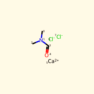 CN(C)C=O.[Ca+2].[Cl-].[Cl-]